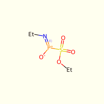 CC/N=[P+](\[O-])S(=O)(=O)OCC